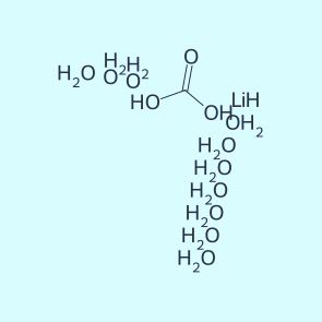 O.O.O.O.O.O.O.O.O.O.O=C(O)O.[LiH]